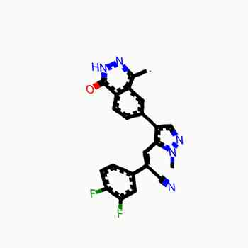 [CH2]c1n[nH]c(=O)c2ccc(-c3cnn(C)c3C=C(C#N)c3ccc(F)c(F)c3)cc12